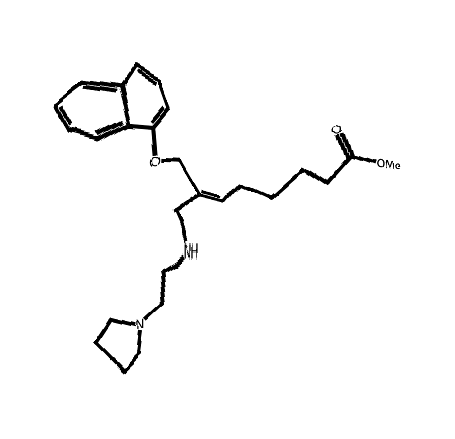 COC(=O)CCCC/C=C(/CNCCN1CCCC1)COc1cccc2ccccc12